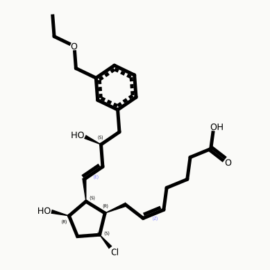 CCOCc1cccc(C[C@H](O)/C=C/[C@H]2[C@@H](C/C=C\CCCC(=O)O)[C@@H](Cl)C[C@H]2O)c1